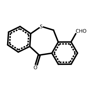 O=Cc1cccc2c1CSc1ccccc1C2=O